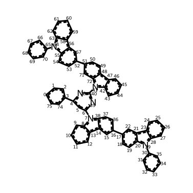 c1ccc(-c2cc(-n3c4ccccc4c4cc(-c5ccc6c(c5)c5ccccc5n6-c5ccccc5)ccc43)nc(-n3c4ccccc4c4ccc(-c5ccc6c(c5)c5ccccc5n6-c5ccccc5)cc43)n2)cc1